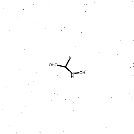 O=CC(Br)NO